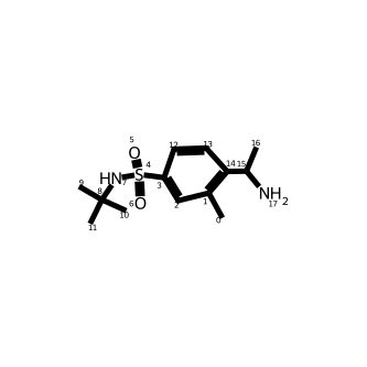 Cc1cc(S(=O)(=O)NC(C)(C)C)ccc1C(C)N